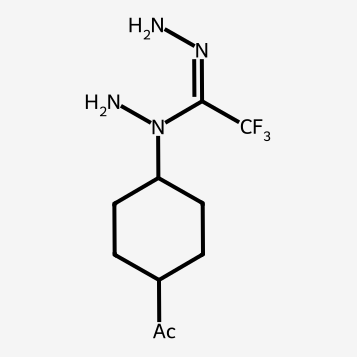 CC(=O)C1CCC(N(N)/C(=N\N)C(F)(F)F)CC1